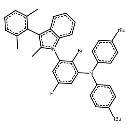 Cc1cccc(C)c1-c1c(C)n(-c2cc(F)cc(N(c3ccc(C(C)(C)C)cc3)c3ccc(C(C)(C)C)cc3)c2Br)c2ccccc12